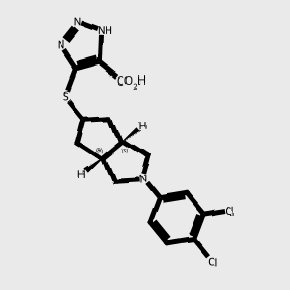 O=C(O)c1[nH]nnc1SC1C[C@@H]2CN(c3ccc(Cl)c(Cl)c3)C[C@@H]2C1